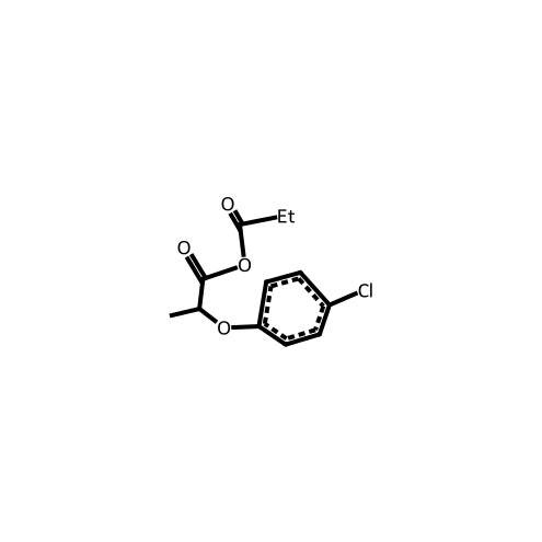 CCC(=O)OC(=O)C(C)Oc1ccc(Cl)cc1